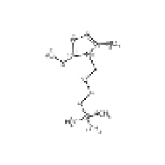 C[Si](C)(C)CCOCn1c([N+](=O)[O-])cnc1CO